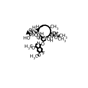 COc1cc2c(OC)cnc(O[C@@H]3C[C@H]4C(=O)N[C@]5(C(=O)NS(=O)(=O)C6(CO)CC6)C[C@H]5/C=C\CC[C@@H](C)C[C@@H](C)[C@H](NC(=O)OC(C)(C)C)C(=O)N4C3)c2cc1F